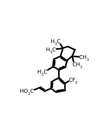 Cc1cc2c(cc1-c1cc(C=CC(=O)O)ccc1C(F)(F)F)C(C)(C)CCC2(C)C